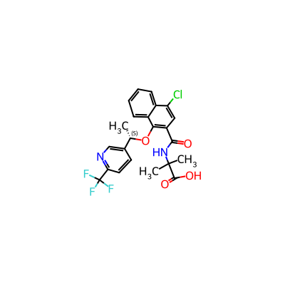 C[C@H](Oc1c(C(=O)NC(C)(C)C(=O)O)cc(Cl)c2ccccc12)c1ccc(C(F)(F)F)nc1